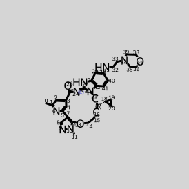 Cc1cc2cc(n1)-c1cnn(C)c1OCCC[C@@H](C1CC1)CN1/C(=N/C2=O)Nc2cc(NCCN3CCOCC3)ccc21